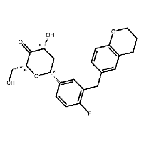 O=C1[C@H](O)C[C@H](c2ccc(F)c(Cc3ccc4c(c3)CCCO4)c2)O[C@@H]1CO